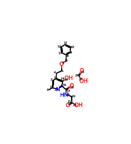 Cc1cc(CCOCc2ccccc2)c(O)c(C(=O)NCC(=O)O)n1.O=CO